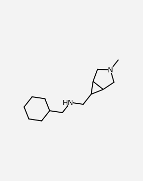 CN1CC2C(CNCC3CCCCC3)C2C1